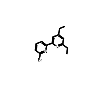 CCc1cc(CC)nc(-c2cccc(Br)n2)c1